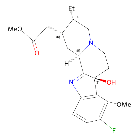 CC[C@@H]1CN2CC[C@@]3(O)C(=Nc4ccc(F)c(OC)c43)[C@H]2C[C@@H]1CC(=O)OC